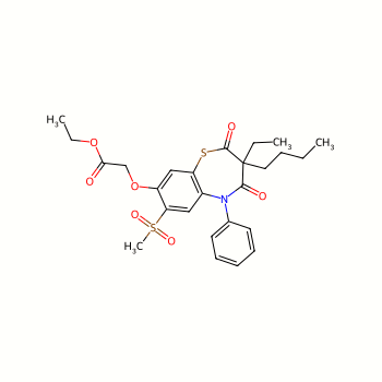 CCCCC1(CC)C(=O)Sc2cc(OCC(=O)OCC)c(S(C)(=O)=O)cc2N(c2ccccc2)C1=O